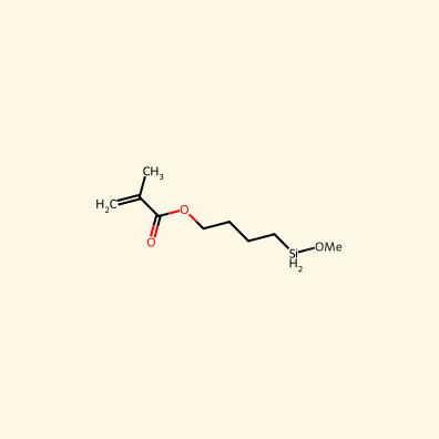 C=C(C)C(=O)OCCCC[SiH2]OC